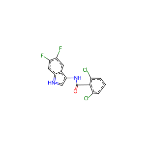 O=C(Nc1c[nH]c2cc(F)c(F)cc12)c1c(Cl)cccc1Cl